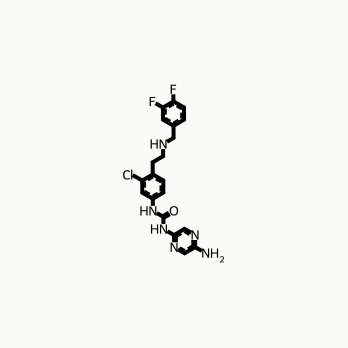 Nc1cnc(NC(=O)Nc2ccc(CCNCc3ccc(F)c(F)c3)c(Cl)c2)cn1